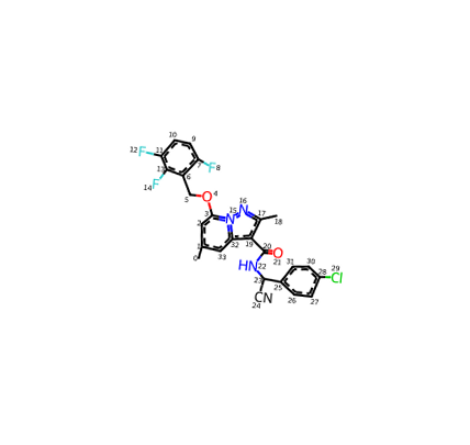 Cc1cc(OCc2c(F)ccc(F)c2F)n2nc(C)c(C(=O)NC(C#N)c3ccc(Cl)cc3)c2c1